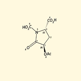 CC(=O)O[C@@H]1C[C@@H](C(=O)O)N(C(=O)O)C1=O